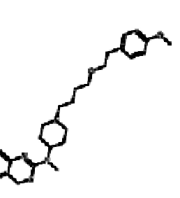 COc1ccc(CCOCCCCN2CCC(N(C)C3=Nc4ccccc4CS3)CC2)cc1